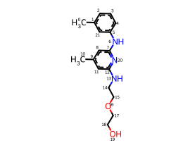 Cc1cccc(Nc2cc(C)cc(NCCOCCO)n2)c1